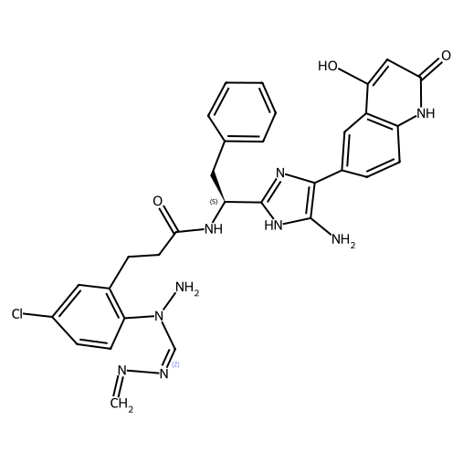 C=N/N=C\N(N)c1ccc(Cl)cc1CCC(=O)N[C@@H](Cc1ccccc1)c1nc(-c2ccc3[nH]c(=O)cc(O)c3c2)c(N)[nH]1